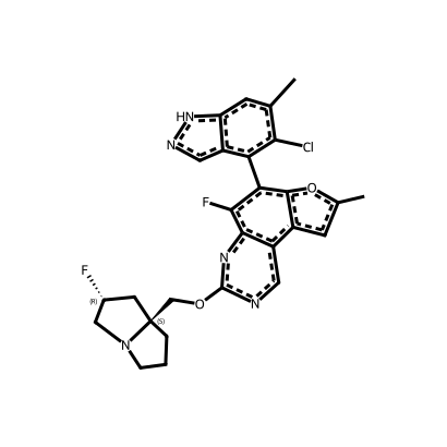 Cc1cc2c(o1)c(-c1c(Cl)c(C)cc3[nH]ncc13)c(F)c1nc(OC[C@@]34CCCN3C[C@H](F)C4)ncc12